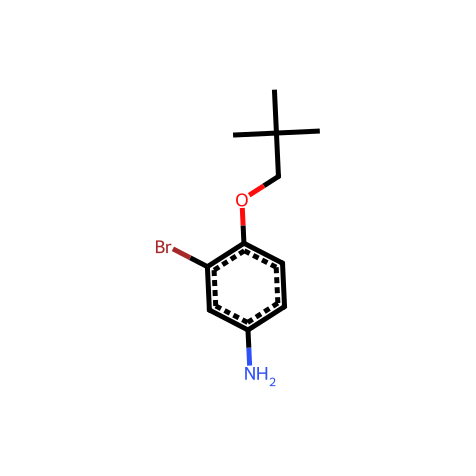 CC(C)(C)COc1ccc(N)cc1Br